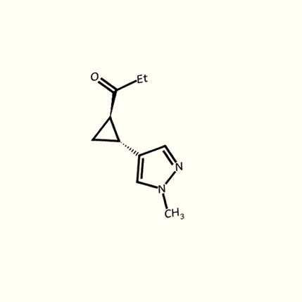 CCC(=O)[C@@H]1C[C@H]1c1cnn(C)c1